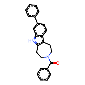 O=C(c1ccccc1)N1CCc2[nH]c3cc(-c4ccccc4)ccc3c2CC1